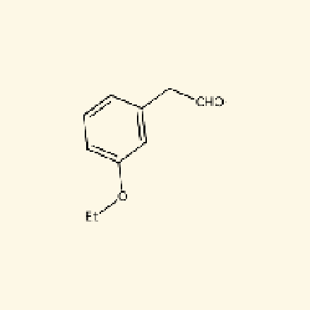 CCOc1cccc(C[C]=O)c1